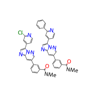 CNC(=O)c1cccc(-c2cnn3c(-c4ccnc(-c5ccccc5)c4)cnc3c2)c1.CNC(=O)c1cccc(-c2cnn3c(-c4ccnc(Cl)c4)cnc3c2)c1